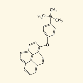 C[Si](C)(C)c1ccc(Oc2ccc3ccc4cccc5ccc2c3c45)cc1